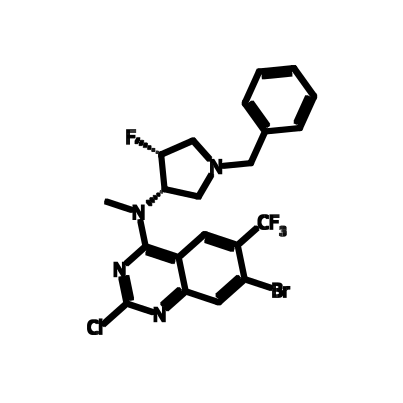 CN(c1nc(Cl)nc2cc(Br)c(C(F)(F)F)cc12)[C@H]1CN(Cc2ccccc2)C[C@H]1F